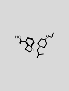 CCO[C@H]1CCN(CC(C)C)[C@H](c2ccc(C(=O)O)c3c2OCC3)C1